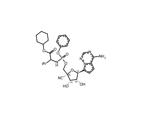 CC(C)C(NP(=O)(OC[C@@]1(C#N)O[C@@H](c2ccc3c(N)ncnn23)[C@H](O)[C@@H]1O)Oc1ccccc1)C(=O)OC1CCCCC1